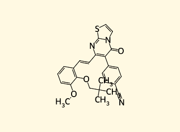 COc1cccc(C=Cc2nc3sccn3c(=O)c2-c2ccc(C#N)cc2)c1OCC(C)(C)C